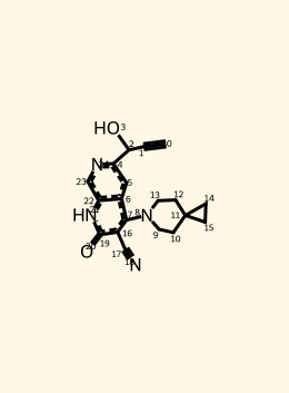 C#CC(O)c1cc2c(N3CCC4(CC3)CC4)c(C#N)c(=O)[nH]c2cn1